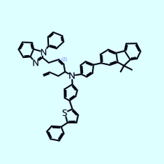 C=CCC(/C=C\Cc1nc2ccccc2n1-c1ccccc1)N(c1ccc(-c2ccc3c(c2)C(C)(C)c2ccccc2-3)cc1)c1ccc(-c2ccc(-c3ccccc3)s2)cc1